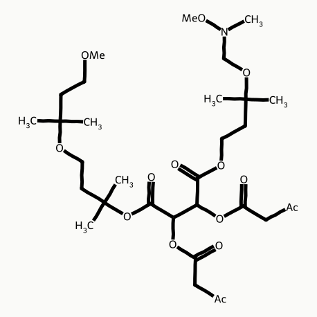 COCCC(C)(C)OCCC(C)(C)OC(=O)C(OC(=O)CC(C)=O)C(OC(=O)CC(C)=O)C(=O)OCCC(C)(C)OCN(C)OC